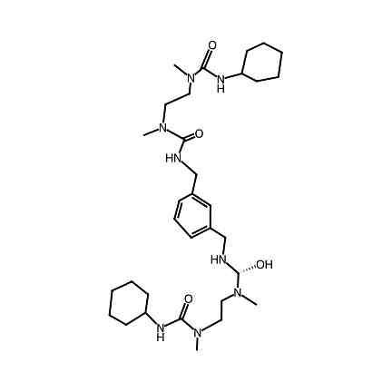 CN(CCN(C)C(=O)NC1CCCCC1)C(=O)NCc1cccc(CN[C@H](O)N(C)CCN(C)C(=O)NC2CCCCC2)c1